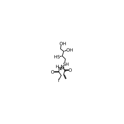 C=CC(N)=O.NC(=O)CI.OC[C@@H](O)[C@H](S)CS